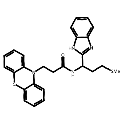 CSCCC(NC(=O)CCN1c2ccccc2Sc2ccccc21)c1nc2ccccc2[nH]1